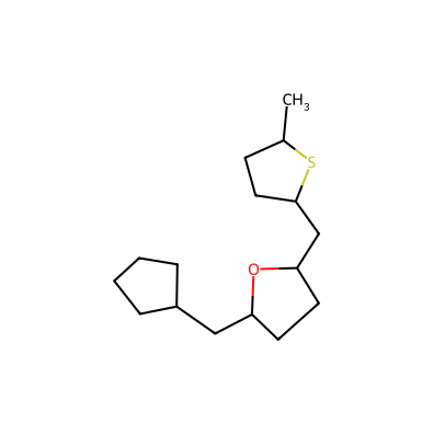 CC1CCC(CC2CCC(CC3CCCC3)O2)S1